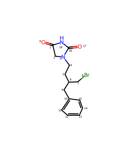 O=C1CN(CCC(CBr)Cc2ccccc2)C(=O)N1